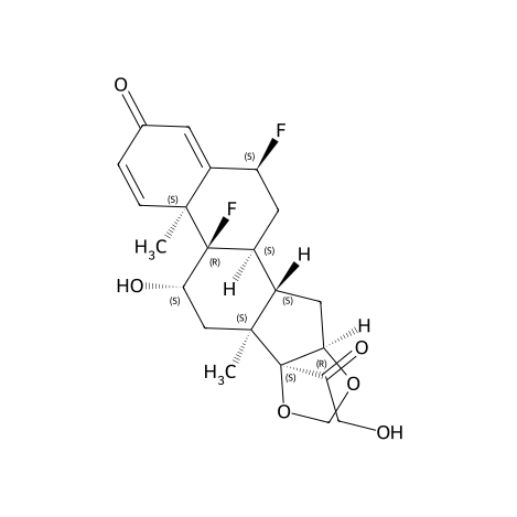 C[C@]12C=CC(=O)C=C1[C@@H](F)C[C@H]1[C@@H]3C[C@H]4OCO[C@@]4(C(=O)CO)[C@@]3(C)C[C@H](O)[C@@]12F